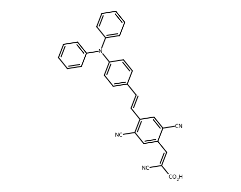 N#C/C(=C\c1cc(C#N)c(/C=C/c2ccc(N(c3ccccc3)c3ccccc3)cc2)cc1C#N)C(=O)O